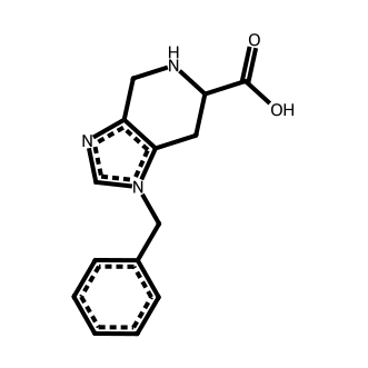 O=C(O)C1Cc2c(ncn2Cc2ccccc2)CN1